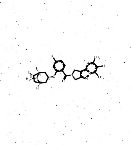 Cc1nc2c3c(nn2c(C)c1Cl)CN(C(=O)c1ccc(F)cc1O[C@H]1C[C@H]2C[C@@H](F)[C@@H](C1)N2C)C3